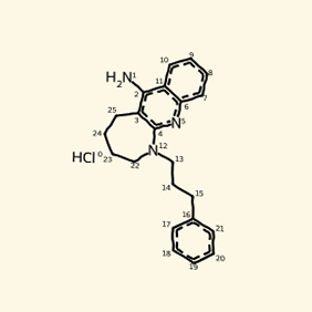 Cl.Nc1c2c(nc3ccccc13)N(CCCc1ccccc1)CCCC2